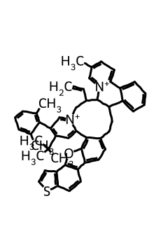 C=CC1C[n+]2cc(-c3c(C)cccc3C)c(C(C)(C)C)cc2-c2c(ccc3c2oc2c4ccsc4ccc32)CCC2c3ccccc3-c3ccc(C)c[n+]3C12